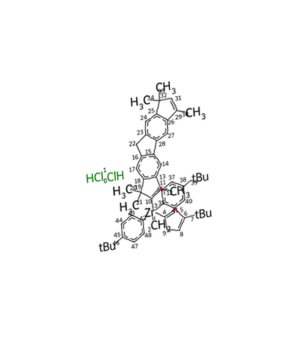 Cl.Cl.[CH2]=[Zr]([C]1=CC(C(C)(C)C)=CC1)([C]1=C(C)c2cc3c(cc2C1(C)C)Cc1cc2c(cc1-3)C(C)=CC2(C)C)([c]1ccc(C(C)(C)C)cc1)[c]1ccc(C(C)(C)C)cc1